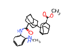 CNc1ccccc1NC(=O)C12CC3CC(C1)CC(C14CC5CC(CC(C(=O)OC)(C5)C1)C4)(C3)C2